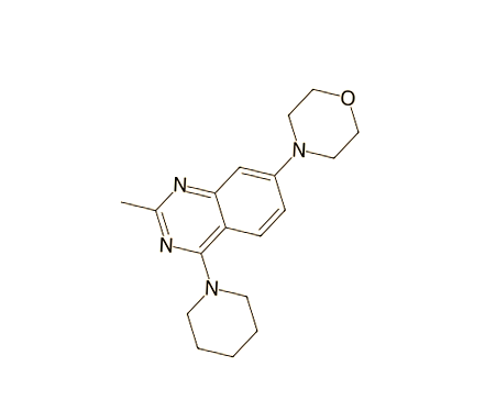 Cc1nc(N2CCCCC2)c2ccc(N3CCOCC3)cc2n1